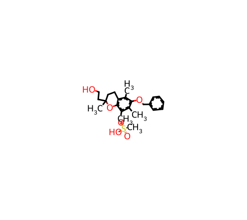 CS(=O)(=O)O.Cc1c(C)c2c(c(C)c1OCc1ccccc1)CCC(C)(CCO)O2